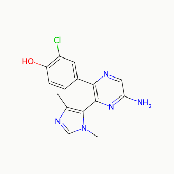 Cc1ncn(C)c1-c1nc(N)cnc1-c1ccc(O)c(Cl)c1